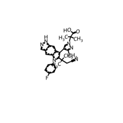 Cc1nn(C(C)(C)C(=O)O)cc1-c1c(C(C)(C)CC#N)n(-c2ccc(F)cc2)c2cc3cn[nH]c3cc12